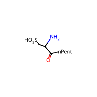 CCCCCC(=O)C(N)CS(=O)(=O)O